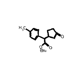 Cc1ccc(C(C(=O)OC(C)(C)C)C2CCC(=O)C2)cc1